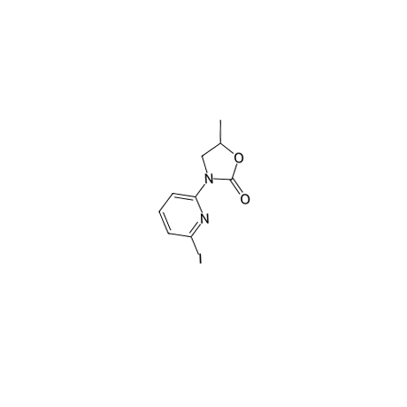 CC1CN(c2cccc(I)n2)C(=O)O1